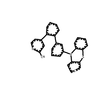 N#Cc1cc(-c2ccccc2-c2cccc(N3c4ccccc4Sc4ccccc43)c2)ccn1